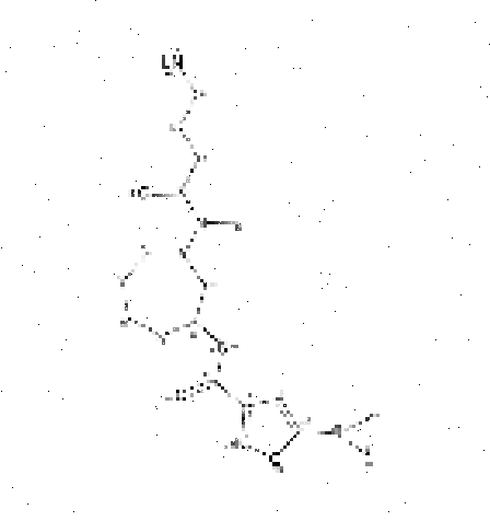 CN(C(=O)CCCN)C1CCCCC(NC(=O)c2cc(C3CC3)on2)C1